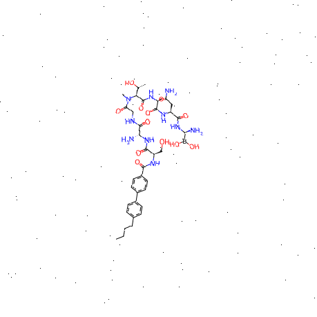 CCCCc1ccc(-c2ccc(C(=O)N[C@H](CO)C(=O)N[C@H](N)C(=O)NCC(=O)N(C)[C@H](C(=O)N[C@@H](C)C(=O)N[C@@H](CC(N)=O)C(=O)N[C@@H](N)B(O)O)C(C)O)cc2)cc1